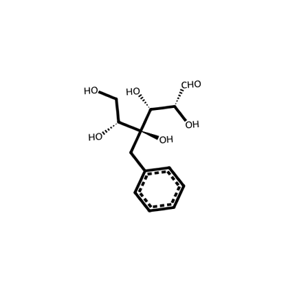 O=C[C@H](O)[C@@H](O)[C@](O)(Cc1ccccc1)[C@H](O)CO